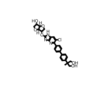 CC(CO)(CO)c1ccc(-c2ccc(-c3nc4nc(O[C@@H]5CO[C@H]6[C@@H]5OC[C@H]6O)[nH]c4cc3Cl)cc2)cc1